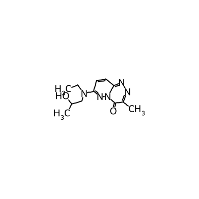 CCN(CC(C)O)c1ccc2nnc(C)c(=O)n2n1